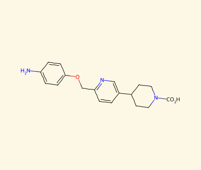 Nc1ccc(OCc2ccc(C3CCN(C(=O)O)CC3)cn2)cc1